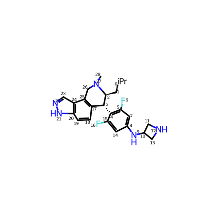 CC(C)C[C@H]1[C@H](c2c(F)cc(NC3CNC3)cc2F)c2ccc3[nH]ncc3c2CN1C